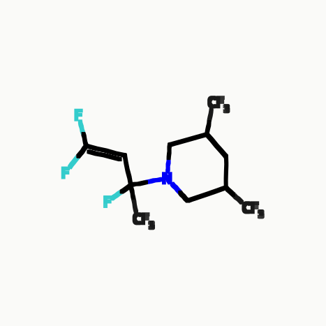 FC(F)=CC(F)(N1CC(C(F)(F)F)CC(C(F)(F)F)C1)C(F)(F)F